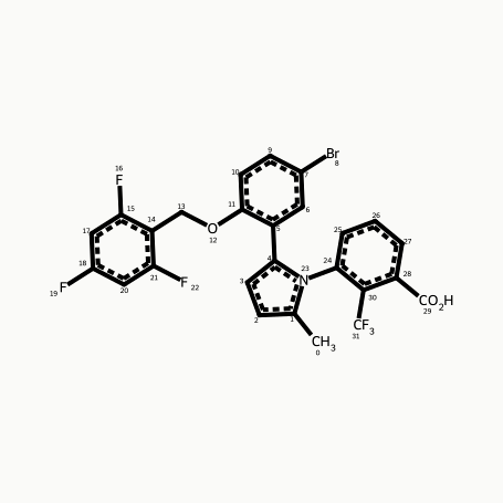 Cc1ccc(-c2cc(Br)ccc2OCc2c(F)cc(F)cc2F)n1-c1cccc(C(=O)O)c1C(F)(F)F